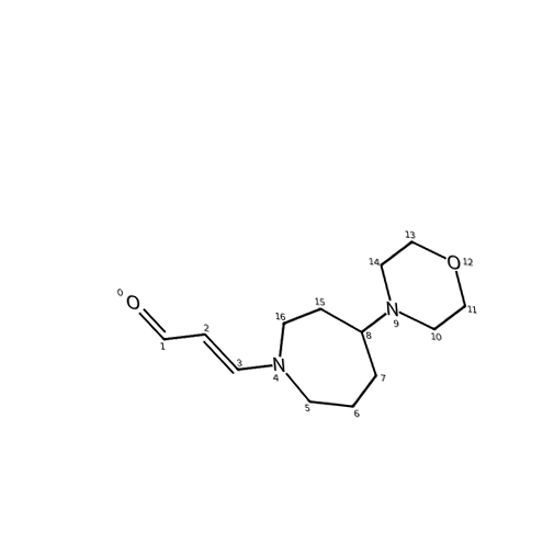 O=CC=CN1CCCC(N2CCOCC2)CC1